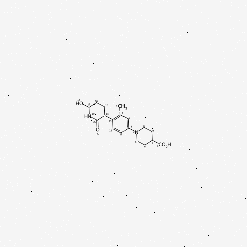 Cc1cc(N2CCC(C(=O)O)CC2)ccc1C1CCC(O)NC1=O